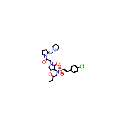 CCC(=O)CN([C@H]1CCN([C@@H](C)C(=O)N2CCC[C@H]2CN2CCCC2)C1=O)S(=O)(=O)C=Cc1ccc(Cl)cc1